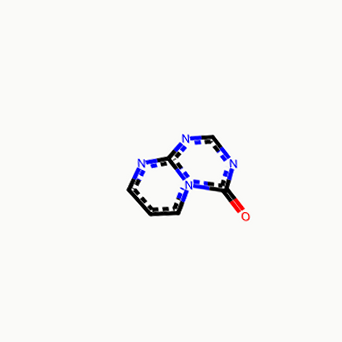 O=c1ncnc2ncccn12